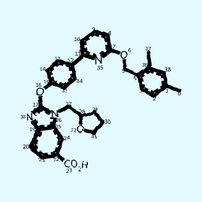 Cc1ccc(COc2cccc(-c3ccc(Oc4nc5ccc(C(=O)O)cc5n4CC4CCCO4)cc3)n2)c(C)c1